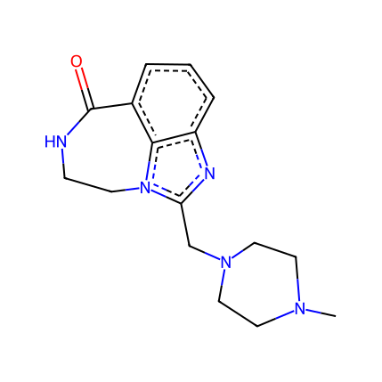 CN1CCN(Cc2nc3cccc4c3n2CCNC4=O)CC1